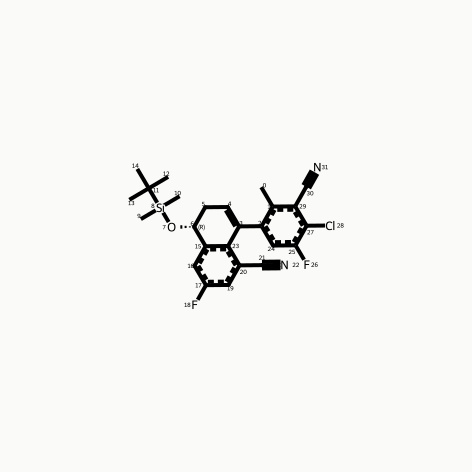 Cc1c(C2=CC[C@@H](O[Si](C)(C)C(C)(C)C)c3cc(F)cc(C#N)c32)cc(F)c(Cl)c1C#N